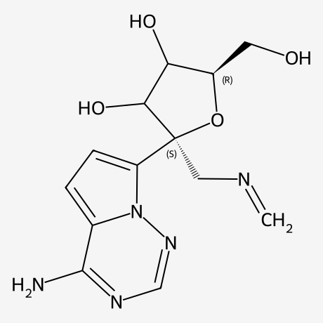 C=NC[C@@]1(c2ccc3c(N)ncnn23)O[C@H](CO)C(O)C1O